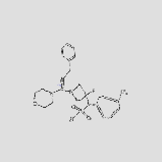 CCS(=O)(=O)N(c1cccc(C(F)(F)F)c1)C1(F)CN(/C(=N\Cc2ccccc2)N2CCOCC2)C1